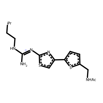 CC(=O)NCc1ccc(-c2csc(/N=C(\N)NCCC(C)C)n2)s1